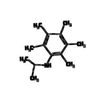 Cc1c(C)c(C)c(NC(C)C)c(C)c1C